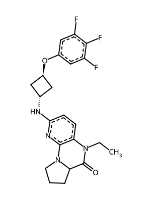 CCN1C(=O)C2CCCN2c2nc(N[C@H]3C[C@H](Oc4cc(F)c(F)c(F)c4)C3)ccc21